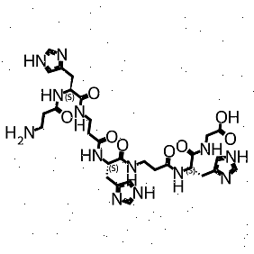 NCCC(=O)N[C@@H](Cc1c[nH]cn1)C(=O)NCCC(=O)N[C@@H](Cc1c[nH]cn1)C(=O)NCCC(=O)N[C@@H](Cc1c[nH]cn1)C(=O)NCC(=O)O